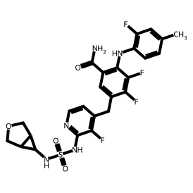 Cc1ccc(Nc2c(C(N)=O)cc(Cc3ccnc(NS(=O)(=O)NC4C5COCC54)c3F)c(F)c2F)c(F)c1